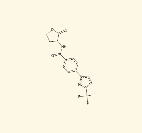 O=C(NC1CCOC1=O)c1ccc(-n2ccc(C(F)(F)F)n2)cc1